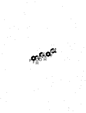 CC1CN(c2ccc(Nc3nccc(N(Cc4ccc(F)c(F)c4)C(=O)O)n3)cc2F)CCN1C